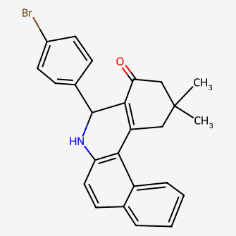 CC1(C)CC(=O)C2=C(C1)c1c(ccc3ccccc13)NC2c1ccc(Br)cc1